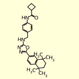 CC1(C)CCC(C)(C)c2cc(-c3nnc(NCc4ccc(NC(=O)C5CCC5)cc4)o3)ccc21